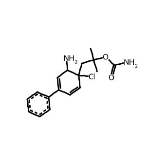 CC(C)(CC1(Cl)C=CC(c2ccccc2)=CC1N)OC(N)=O